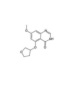 COc1cc(OC2CCOC2)c2c(=O)[nH]cnc2c1